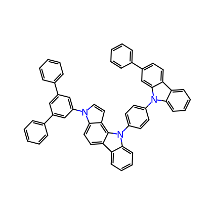 c1ccc(-c2cc(-c3ccccc3)cc(-n3ccc4c3ccc3c5ccccc5n(-c5ccc(-n6c7ccccc7c7ccc(-c8ccccc8)cc76)cc5)c34)c2)cc1